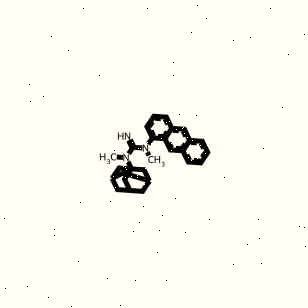 CN(C(=N)N(C)C12CC3CC(CC(C3)C1)C2)c1cccc2cc3ccccc3cc12